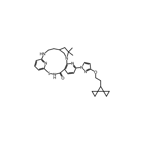 CC1(C)CC2CCNc3cccc(n3)SNC(=O)c3ccc(-n4ccc(OCCC5C6(CC6)C56CC6)n4)nc3N1C2